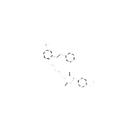 CCCc1cc(C(O)(C(F)(F)F)C(F)(F)F)cc(/C=C/c2ccccc2)c1OCCCCN1C(=O)NC(C)(c2ccc3c(c2)OCO3)C1=O